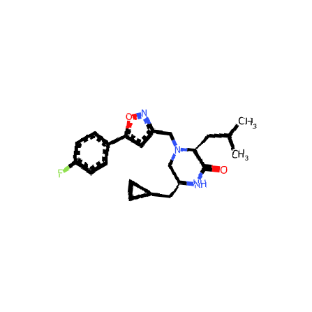 CC(C)C[C@H]1C(=O)N[C@@H](CC2CC2)CN1Cc1cc(-c2ccc(F)cc2)on1